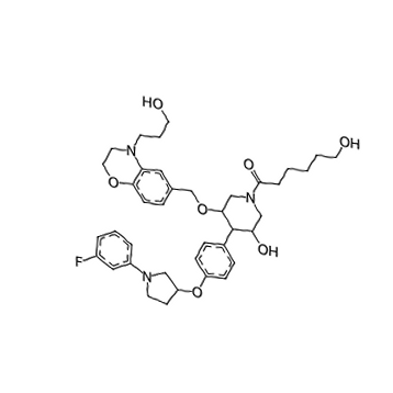 O=C(CCCCCO)N1CC(O)C(c2ccc(OC3CCN(c4cccc(F)c4)C3)cc2)C(OCc2ccc3c(c2)N(CCCO)CCO3)C1